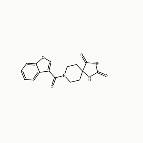 O=C1NC(=O)C2(CCN(C(=O)c3coc4ccccc34)CC2)N1